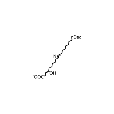 CCCCCCCCCCCCCCCCCCCCCCCCC(O)=CCC(=O)[O-].[Na+]